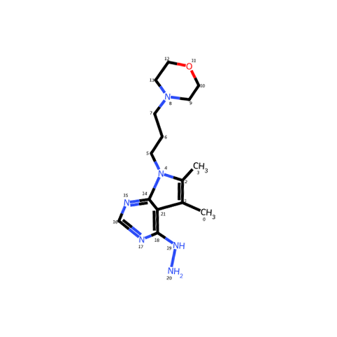 Cc1c(C)n(CCCN2CCOCC2)c2ncnc(NN)c12